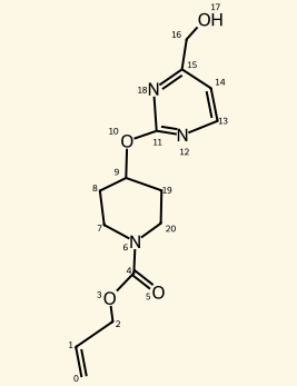 C=CCOC(=O)N1CCC(Oc2nccc(CO)n2)CC1